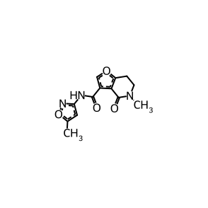 Cc1cc(NC(=O)c2coc3c2C(=O)N(C)CC3)no1